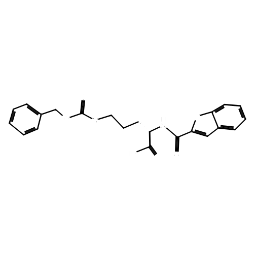 O=C(NCCC[C@H](NC(=O)c1cc2ccccc2s1)C(=O)O)OCc1ccccc1